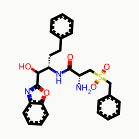 N[C@@H](CS(=O)(=O)Cc1ccccc1)C(=O)N[C@@H](CCc1ccccc1)C(O)c1nc2ccccc2o1